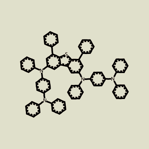 c1ccc(-c2cc(N(c3ccccc3)c3ccc(N(c4ccccc4)c4ccccc4)cc3)cc3c2sc2c(-c4ccccc4)cc(N(c4ccccc4)c4ccc(N(c5ccccc5)c5ccccc5)cc4)cc23)cc1